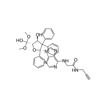 C#CCNC(=O)CNc1ncnc2c1ncn2[C@]1(c2ccccc2)O[C@H](C(O)(OC)OC)[C@@H](O)C1(c1ccccc1)c1ccccc1